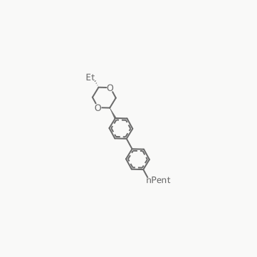 CCCCCc1ccc(-c2ccc([C@@H]3CO[C@@H](CC)CO3)cc2)cc1